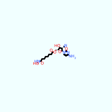 N#C[C@H]1[C@H](O)[C@@H](COC(=O)CCCCCCC(=O)NO)O[C@H]1n1ccc(N)nc1=O